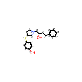 Oc1ccc(S[C@H]2CCN(C[C@H](O)CCc3ccccc3)C2)cc1